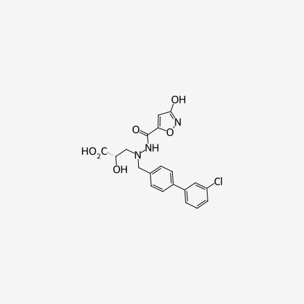 O=C(NN(Cc1ccc(-c2cccc(Cl)c2)cc1)C[C@H](O)C(=O)O)c1cc(O)no1